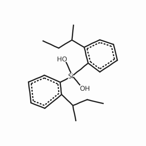 CCC(C)c1ccccc1[Si](O)(O)c1ccccc1C(C)CC